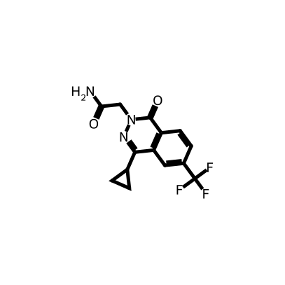 NC(=O)Cn1nc(C2CC2)c2cc(C(F)(F)F)ccc2c1=O